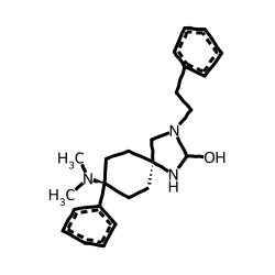 CN(C)[C@]1(c2ccccc2)CC[C@]2(CC1)CN(CCc1ccccc1)C(O)N2